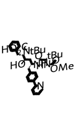 COC(=O)N[C@H](C(=O)N[C@H](Cc1ccc(-c2ccccn2)cc1)C[C@@H](O)[C@H](Cc1ccccc1)N(C(=O)O)C(C)(C)C)C(C)(C)C